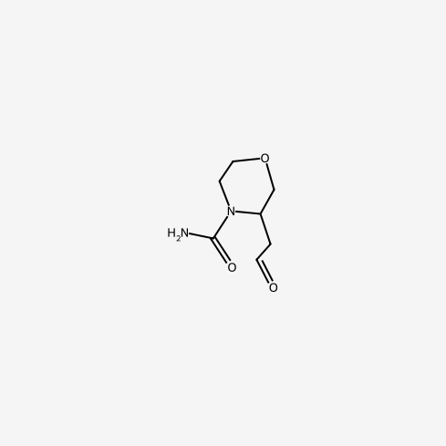 NC(=O)N1CCOCC1CC=O